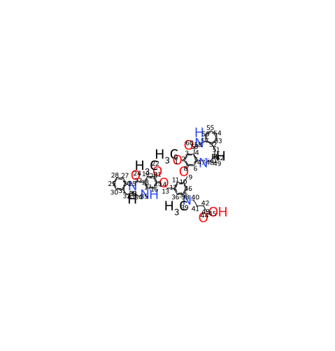 COc1cc2c(cc1OCc1cc(COc3cc4c(cc3OC)C(=O)N3c5ccccc5C[C@H]3CN4)cc(N(C)CCCC(=O)O)c1)/N=C1/C[C@H]1Cc1ccccc1NC2=O